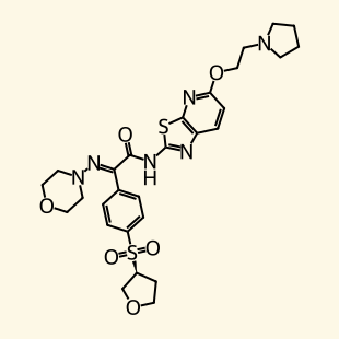 O=C(Nc1nc2ccc(OCCN3CCCC3)nc2s1)/C(=N/N1CCOCC1)c1ccc(S(=O)(=O)[C@H]2CCOC2)cc1